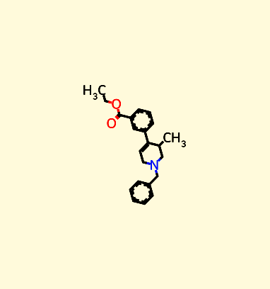 CCOC(=O)c1cccc(C2=CCN(Cc3ccccc3)CC2C)c1